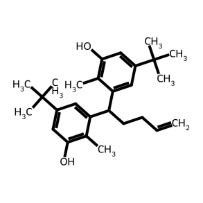 C=CCCC(c1cc(C(C)(C)C)cc(O)c1C)c1cc(C(C)(C)C)cc(O)c1C